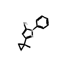 CC1(c2cc(N)n(-c3ccccc3)n2)CC1